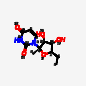 CC[C@H]1O[C@@](C)(n2ccc(=O)[nH]c2=O)[C@H](O)[C@@H]1O